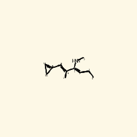 CC/C=C(NC)/C(C)=C/C1=CC1